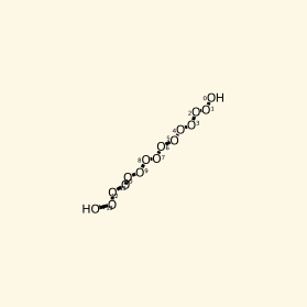 OOOOOOOOOOOOOOO